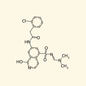 CN(C)C=NS(=O)(=O)c1cc(NC(=O)Cc2ccccc2Cl)cc2c(O)nccc12